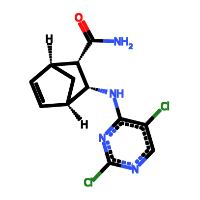 NC(=O)[C@@H]1[C@H](Nc2nc(Cl)ncc2Cl)[C@H]2C=C[C@@H]1C2